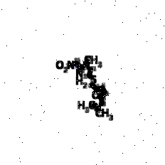 CN(C)Cc1ccc(CSCCN(C)/C(N)=C/[N+](=O)[O-])o1